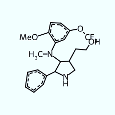 COc1ccc(OC(F)(F)F)cc1N(C)C1C(CCO)CNC1c1ccccc1